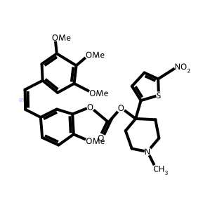 COc1ccc(/C=C\c2cc(OC)c(OC)c(OC)c2)cc1OC(=O)OC1(c2ccc([N+](=O)[O-])s2)CCN(C)CC1